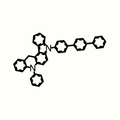 c1ccc(-c2ccc(-c3ccc(-n4c5ccccc5c5c6c(ccc54)N(c4ccccc4)c4ccccc4C6)cc3)cc2)cc1